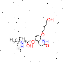 CC(C)(C)NCC(O)COc1ccc(OCCCCCO)c2c1CCC(=O)N2